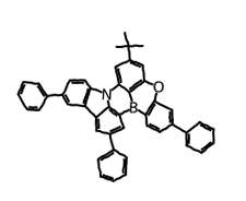 CC(C)(C)c1cc2c3c(c1)-n1c4ccc(-c5ccccc5)cc4c4cc(-c5ccccc5)cc(c41)B3c1ccc(-c3ccccc3)cc1O2